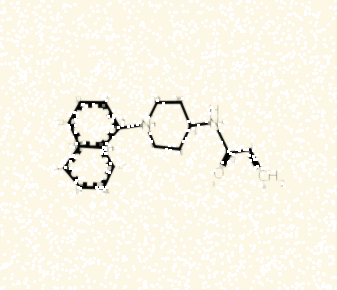 C=CC(=O)NC1CCN(c2cccc3ccccc23)CC1